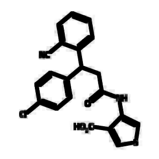 N#Cc1ccccc1C(CC(=O)Nc1cscc1C(=O)O)c1ccc(Cl)cc1